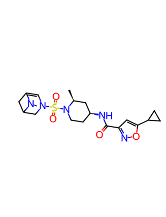 C[C@H]1C[C@@H](NC(=O)c2cc(C3CC3)on2)CCN1S(=O)(=O)N1C=C2CC(C1)N2C